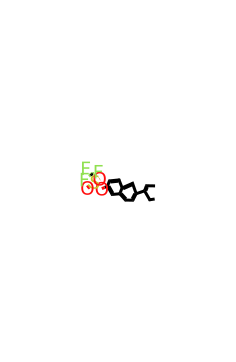 CC=C(CC)c1ccc2cc(OS(=O)(=O)C(F)(F)F)ccc2c1